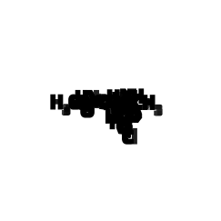 CCOC(=O)[C@@H]1CC2(CCN(c3cc(O[C@H](c4ccc(Cl)cc4-c4cccc(OC(C)C)c4)C(F)(F)F)nc(N)n3)CC2)CN1